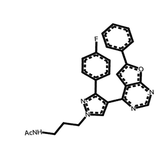 CC(=O)NCCCn1cc(-c2ncnc3oc(-c4ccccc4)cc23)c(-c2ccc(F)cc2)n1